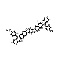 Cc1ccc(N(c2ccc3cc4c(cc3c2)oc2cc3c(cc24)oc2cc4cc(N(c5ccc(C)cc5)c5ccccc5C)ccc4cc23)c2ccccc2C)cc1